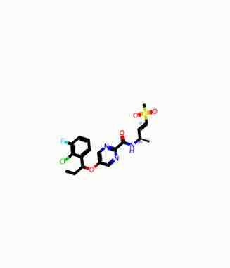 CCC(Oc1cnc(C(=O)N[C@H](C)/C=C/S(C)(=O)=O)nc1)c1cccc(F)c1Cl